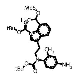 CSOC(C)c1cccc2c(CCN(C(=O)OC(C)(C)C)c3ccc(N)cc3C)cn(C(=O)OC(C)(C)C)c12